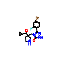 O=C(C1CC1)C1(Cn2c(-c3ccc(Br)cc3F)n[nH]c2=O)CCNC1